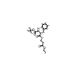 CCOC(=O)CCSC(=O)[C@H](Cc1ccccc1)NC(=O)OC(C)(C)C